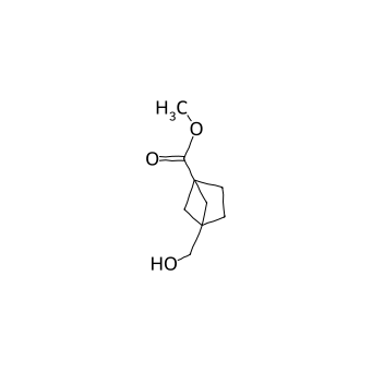 COC(=O)C12CCC(CO)(C1)C2